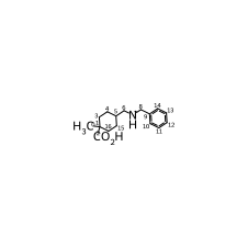 CC1(C(=O)O)CCC(CNCc2ccccc2)CC1